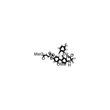 COC(=O)CCS(=O)(=O)Oc1ccc(-c2ccc3c(c2COc2cc(F)ccc2C)N(C)C(=O)C(C)(C)N3)c(OC)c1